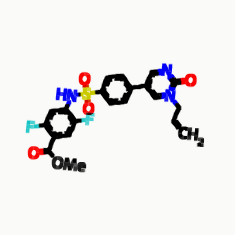 C=CCn1cc(-c2ccc(S(=O)(=O)Nc3cc(F)c(C(=O)OC)cc3F)cc2)cnc1=O